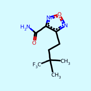 CC(C)(CCc1nonc1C(N)=O)C(F)(F)F